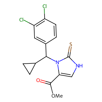 COC(=O)c1c[nH]c(=S)n1C(c1ccc(Cl)c(Cl)c1)C1CC1